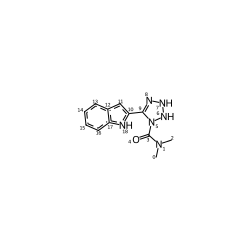 CN(C)C(=O)N1NNN=C1c1cc2ccccc2[nH]1